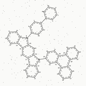 c1ccc(-c2ccc(-n3c4ccccc4c4cc5c6ccccc6n(-c6ccc7c8ccccc8c8ccccc8c7c6)c5cc43)cc2)cc1